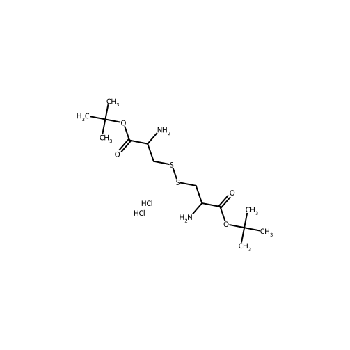 CC(C)(C)OC(=O)C(N)CSSCC(N)C(=O)OC(C)(C)C.Cl.Cl